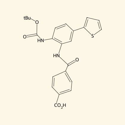 CC(C)(C)OC(=O)Nc1ccc(-c2cccs2)cc1NC(=O)c1ccc(C(=O)O)cc1